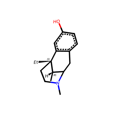 CC[C@@]12CCN(C)C(Cc3ccc(O)cc31)[C@@H]2C